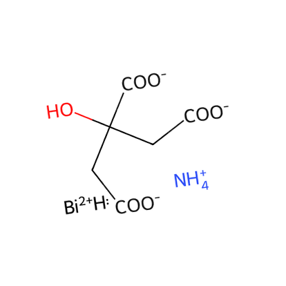 O=C([O-])CC(O)(CC(=O)[O-])C(=O)[O-].[BiH+2].[NH4+]